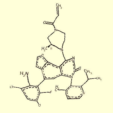 C=CC(=O)N1CCN(c2nc(=O)n(-c3c(C)ccnc3C(C)C)c3cc(-c4c(N)c(Cl)cc(Cl)c4F)c4ccoc4c23)[C@@H](C)C1